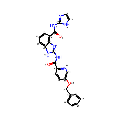 O=C(Nc1nc2c(C(=O)Nc3ncc[nH]3)cccc2[nH]1)c1ccc(OCc2ccccc2)cn1